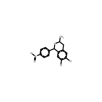 CC1Cc2cc(Cl)c(Cl)cc2C(c2ccc([N+](=O)[O-])cc2)O1